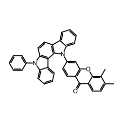 Cc1ccc2c(=O)c3ccc(-n4c5ccccc5c5ccc6c(c7ccccc7n6-c6ccccc6)c54)cc3oc2c1C